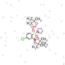 CC(C)(C)OC(=O)[C@@H]1CCCN1S(=O)(=O)c1ccc(Cl)cc1B1OC(C)(C)C(C)(C)O1